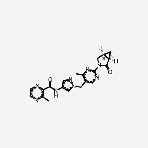 Cc1nc(N2C[C@H]3C[C@H]3C2=O)ncc1Cn1cc(NC(=O)c2nccnc2C)cn1